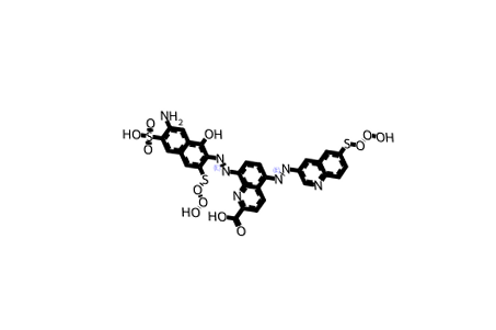 Nc1cc2c(O)c(/N=N/c3ccc(/N=N/c4cnc5ccc(SOOO)cc5c4)c4ccc(C(=O)O)nc34)c(SOOO)cc2cc1S(=O)(=O)O